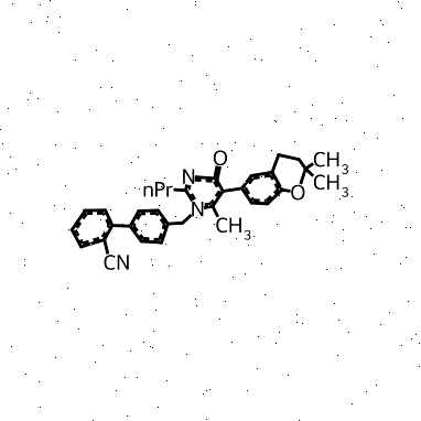 CCCc1nc(=O)c(-c2ccc3c(c2)CCC(C)(C)O3)c(C)n1Cc1ccc(-c2ccccc2C#N)cc1